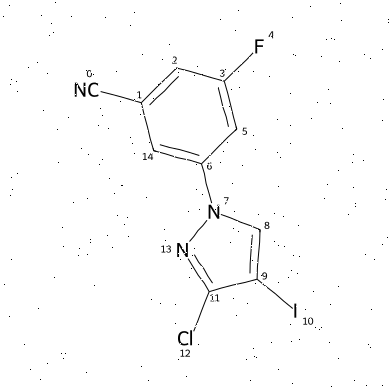 N#Cc1cc(F)cc(-n2cc(I)c(Cl)n2)c1